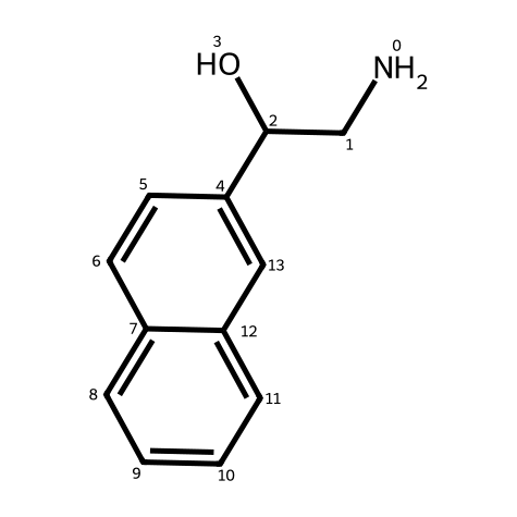 NCC(O)c1ccc2ccccc2c1